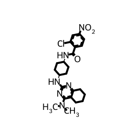 CN(C)c1nc(N[C@H]2CC[C@@H](NC(=O)c3ccc([N+](=O)[O-])cc3Cl)CC2)nc2c1CCCC2